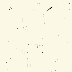 CCC(=O)N[C@@H]1CCC[C@@H](C(C)C)C1